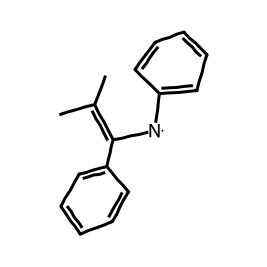 CC(C)=C([N]c1ccccc1)c1ccccc1